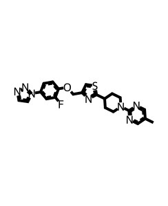 Cc1cnc(N2CCC(c3nc(COc4ccc(-n5ccnn5)cc4F)cs3)CC2)nc1